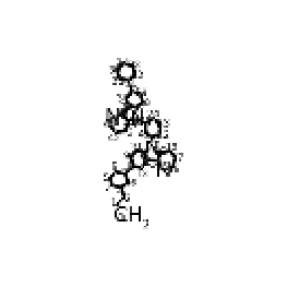 C=CCc1cccc(-c2ccc3c(c2)c2ncccc2n3-c2cccc(-n3c4ccc(-c5ccccc5)cc4c4ncccc43)c2)c1